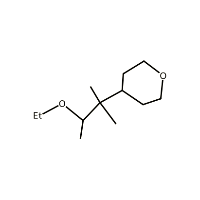 CCOC(C)C(C)(C)C1CCOCC1